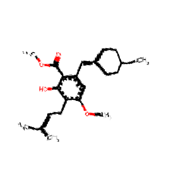 COC(=O)c1c(C=C2CCC(C)CC2)cc(OC)c(CC=C(C)C)c1O